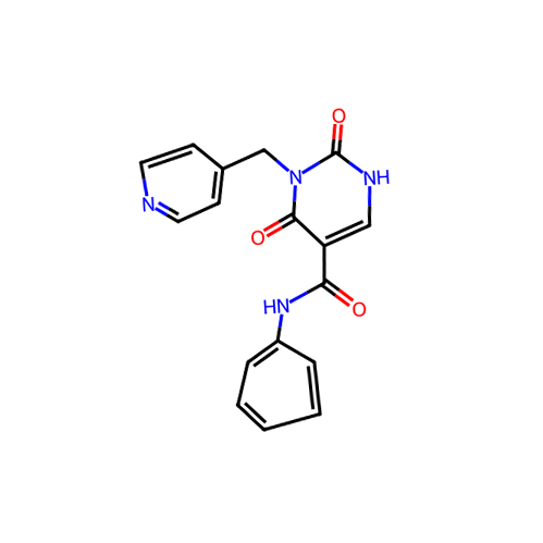 O=C(Nc1ccccc1)c1c[nH]c(=O)n(Cc2ccncc2)c1=O